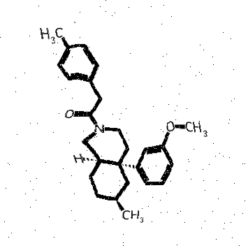 COc1cccc([C@@]23CCN(C(=O)Cc4ccc(C)cc4)C[C@@H]2CC[C@H](C)C3)c1